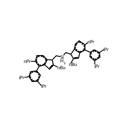 CCCCC1=Cc2c(ccc(CCC)c2-c2cc(C(C)C)cc(C(C)C)c2)C1C[SiH2]CC1C(CCCC)=Cc2c1ccc(CCC)c2-c1cc(C(C)C)cc(C(C)C)c1